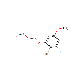 COCCOc1cc(OC)cc(F)c1Br